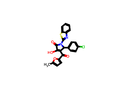 Cc1ccc(C(=O)C2=C(O)C(=O)N(c3nc4ccccc4s3)C2c2ccc(Cl)cc2)o1